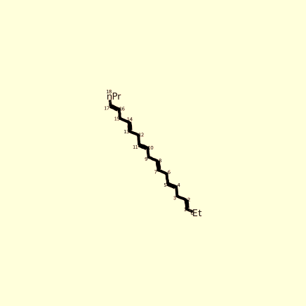 [CH2]C/C=C/C/C=C/C/C=C/C/C=C/C/C=C/C/C=C/CCC